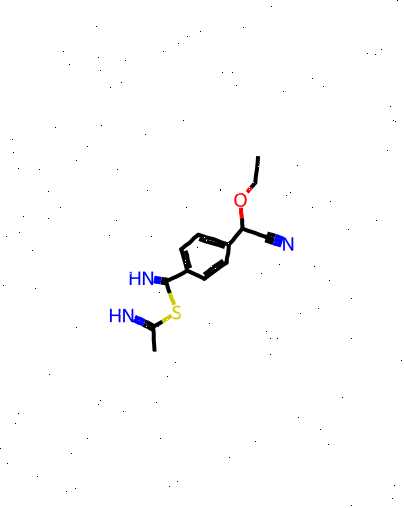 CCOC(C#N)c1ccc(C(=N)SC(C)=N)cc1